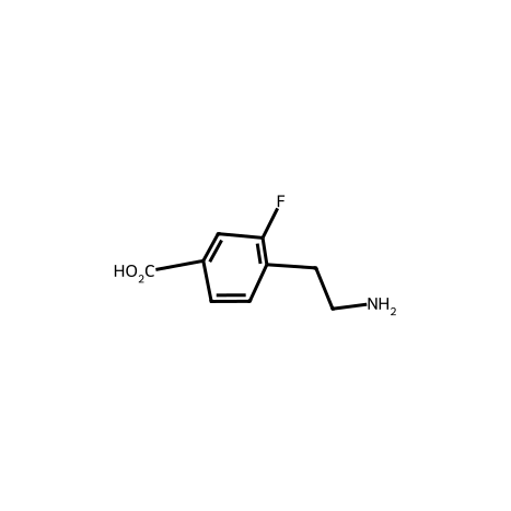 NCCc1ccc(C(=O)O)cc1F